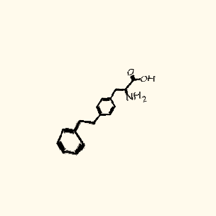 NC(Cc1ccc(CCc2ccccc2)cc1)C(=O)O